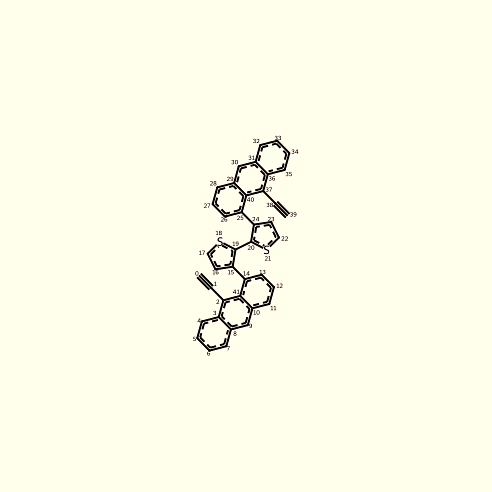 C#Cc1c2ccccc2cc2cccc(-c3ccsc3-c3sccc3-c3cccc4cc5ccccc5c(C#C)c34)c12